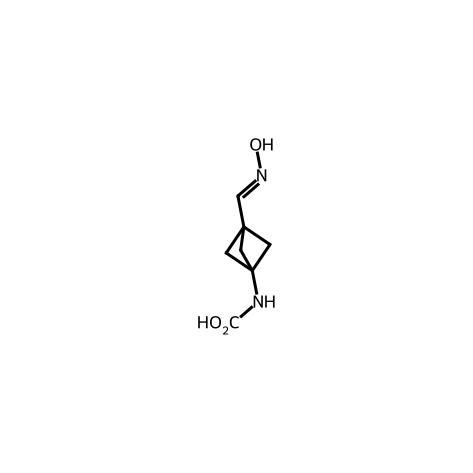 O=C(O)NC12CC(C=NO)(C1)C2